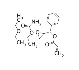 C=CC(=O)OC(c1ccccc1)C1CO1.CCOC(N)=O.CCOCC